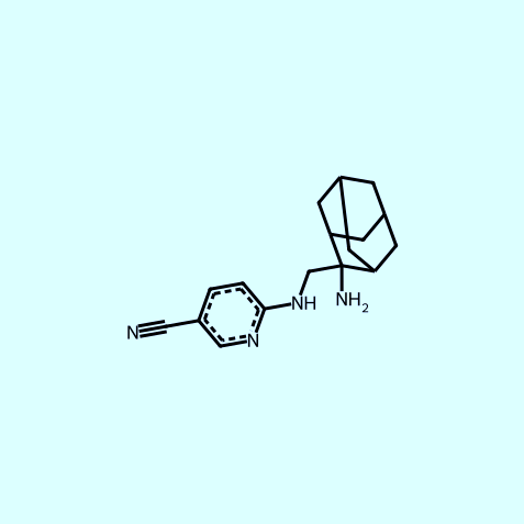 N#Cc1ccc(NCC2(N)C3CC4CC(C3)CC2C4)nc1